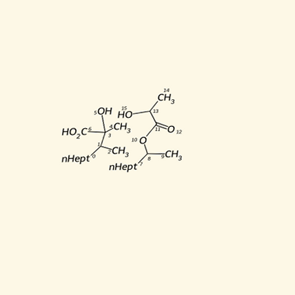 CCCCCCCC(C)C(C)(O)C(=O)O.CCCCCCCC(C)OC(=O)C(C)O